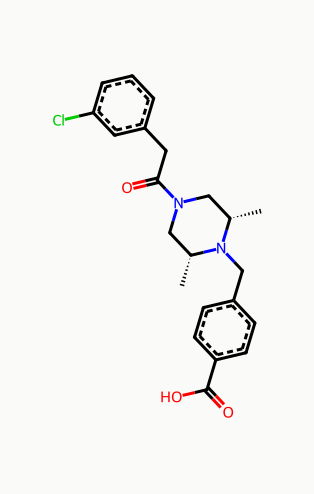 C[C@@H]1CN(C(=O)Cc2cccc(Cl)c2)C[C@H](C)N1Cc1ccc(C(=O)O)cc1